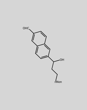 CCCCCCCCCCCC(O)c1ccc2cc(C=O)ccc2c1